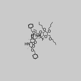 CCCCOC[C@H]1O[C@@H](C(F)(F)C[C@@H](NC(=O)OCc2ccccc2)C(=O)N[C@@H](C)C(=O)N[C@@H](C)C(=O)OCc2ccccc2)[C@H](OCCCC)[C@@H](OCCCC)[C@H]1OCCCC